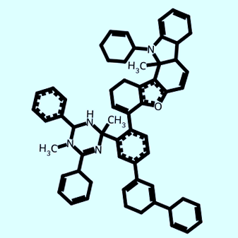 CN1C(C2C=CC=CC2)=NC(C)(c2cc(C3=CCCC(C4C=CC=CC4)=C3)ccc2C2=CCCc3c2oc2c3C3(C)C(C=C2)C2CC=CC=C2N3C2C=CCCC2)NC1c1ccccc1